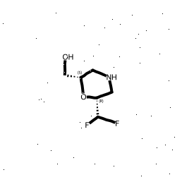 OC[C@@H]1CNC[C@H](C(F)F)O1